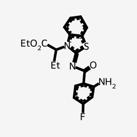 CCOC(=O)C(CC)n1/c(=N/C(=O)c2ccc(F)cc2N)sc2ccccc21